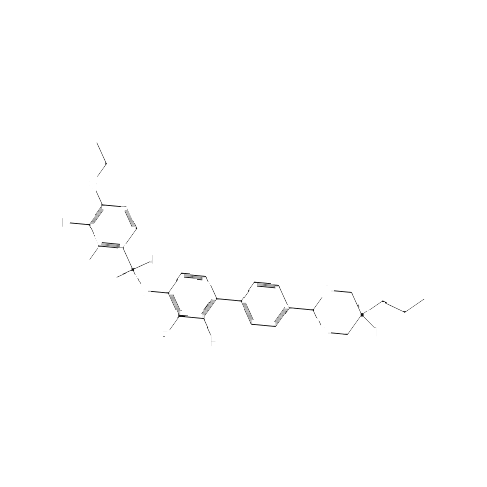 CCCC1(F)COC(c2ccc(-c3ccc(OC(F)(F)c4ccc(OCC)c(F)c4F)c(F)c3F)cc2)OC1